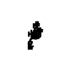 O=C(NCCc1ccc(Br)cc1)N[C@@H](c1ccc(C(F)(F)F)cc1)c1ncccc1C(F)(F)F